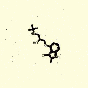 Cc1[nH]c2cccc(OCC(O)CNC(C)(C)C)c2c1Cl